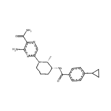 C[C@@H]1[C@H](NC(=O)c2ccc(C3CC3)cc2)CCCN1c1cnc(C(N)=O)c(N)n1